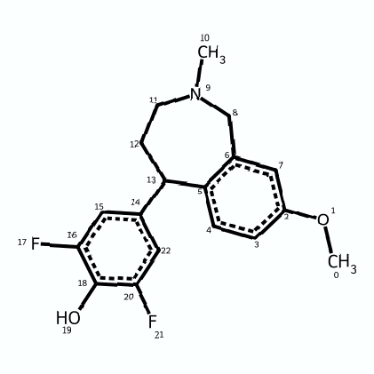 COc1ccc2c(c1)CN(C)CCC2c1cc(F)c(O)c(F)c1